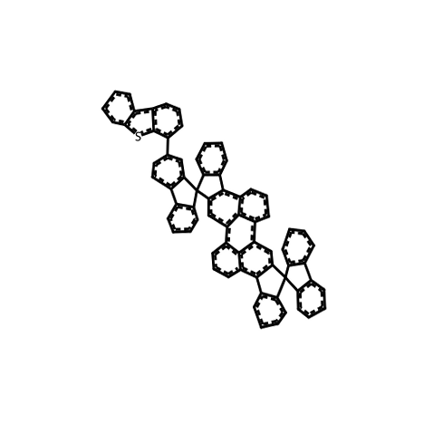 c1ccc2c(c1)-c1ccccc1C21c2ccccc2-c2c1cc1c3cccc4c5c(cc(c6cccc2c61)c43)C1(c2ccccc2-c2ccc(-c3cccc4c3sc3ccccc34)cc21)c1ccccc1-5